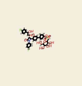 O=C1[C@H](CC[C@H](O)c2ccc(F)cc2)[C@@H](c2ccc(-c3ccc(OS(=O)(=O)CC4O[C@H](CO)[C@@H](O)[C@H](O)[C@H]4O)cc3)cc2O)N1c1ccc(F)cc1